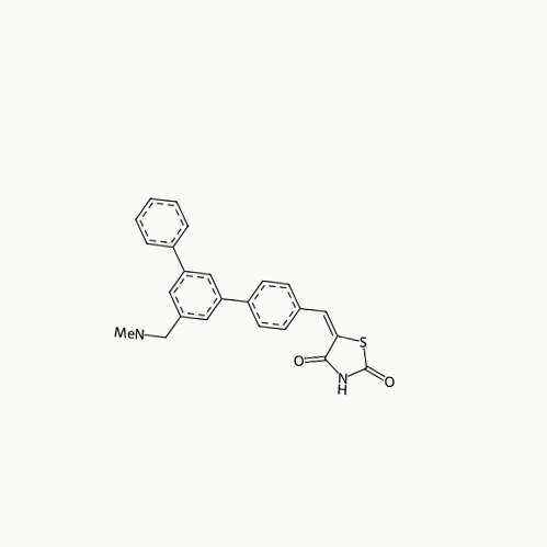 CNCc1cc(-c2ccccc2)cc(-c2ccc(C=C3SC(=O)NC3=O)cc2)c1